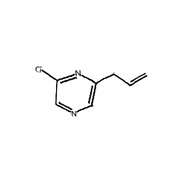 C=C[CH]c1cncc(Cl)n1